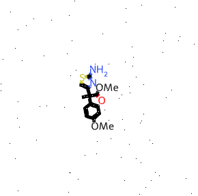 COC(=O)C(C)(c1ccc(OC)cc1)c1csc(N)n1